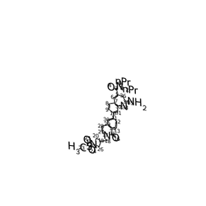 CCCN(CCC)C(=O)C1=Cc2ccc(-c3ccc4c(=O)n(CC5CN(S(C)(=O)=O)C5)ccc4c3)cc2N=C(N)C1